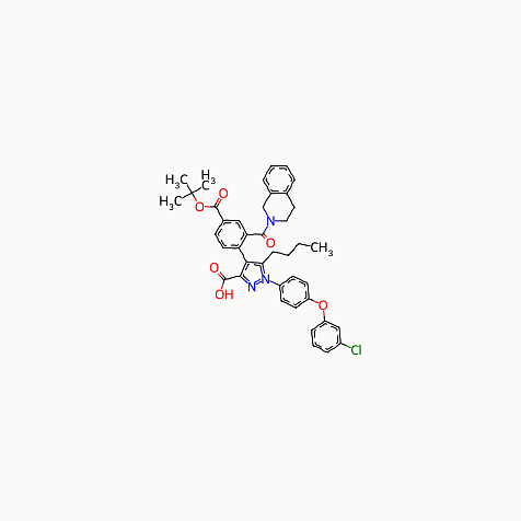 CCCCc1c(-c2ccc(C(=O)OC(C)(C)C)cc2C(=O)N2CCc3ccccc3C2)c(C(=O)O)nn1-c1ccc(Oc2cccc(Cl)c2)cc1